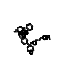 C[C@H]1CC[C@H](c2ccccc2)S(=O)(=O)N1Cc1ccc(C2(COCCCO)CCOCC2)cc1F